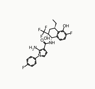 CC[C@@H]1C[C@](O)(C(F)(F)F)[C@@H](NC(=O)c2ccn(-c3ccc(F)cc3)c2N)c2ccc(F)c(O)c21